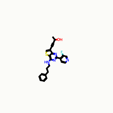 CC(O)C#Cc1csc2c(NCCCc3ccccc3)nc(-c3ccncc3F)nc12